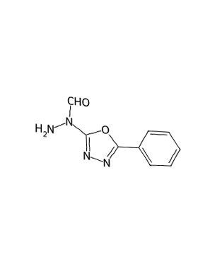 NN(C=O)c1nnc(-c2ccccc2)o1